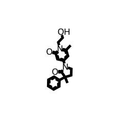 Cc1cc(N2CCC(C)(c3ccccc3)C2=O)cc(=O)n1CCO